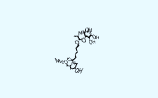 COC[C@@H]1C[C@@H](O)CN1C(=O)CCCCCOC(OC(CO)[C@H](O)CO)[C@H](C)NC(C)=O